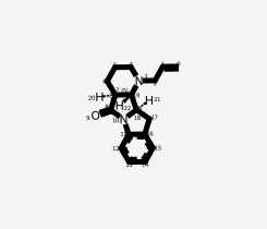 C=CCN1CCC[C@@H]2C(=O)N3c4ccccc4C[C@@H]3[C@H]21